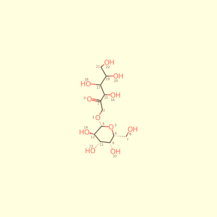 O=C(CO[C@@H]1O[C@H](CO)[C@H](O)[C@H](O)[C@H]1O)C(O)C(O)C(O)CO